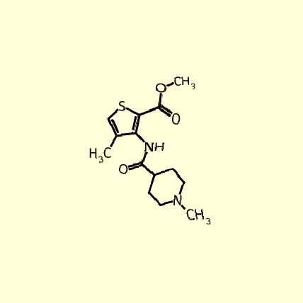 COC(=O)c1scc(C)c1NC(=O)C1CCN(C)CC1